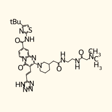 CN(C)CC(=O)NCCNC(=O)CC1CCCN(c2nc3cc(C(=O)Nc4nc(C(C)(C)C)cs4)ccn3c(=O)c2C=Cc2nnn[nH]2)C1